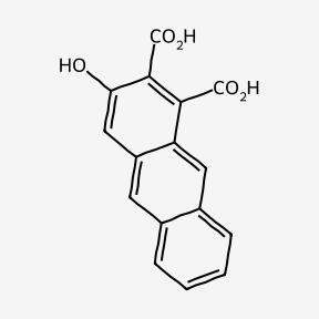 O=C(O)c1c(O)cc2cc3ccccc3cc2c1C(=O)O